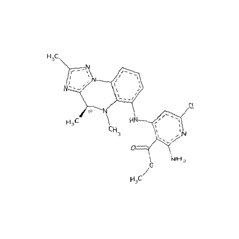 COC(=O)c1c(Nc2cccc3c2N(C)[C@@H](C)c2nc(C)nn2-3)cc(Cl)nc1N